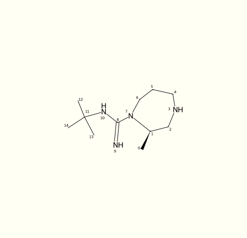 C[C@@H]1CNCCCN1C(=N)NC(C)(C)C